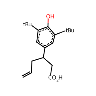 C=CCC(CC(=O)O)c1cc(C(C)(C)C)c(O)c(C(C)(C)C)c1